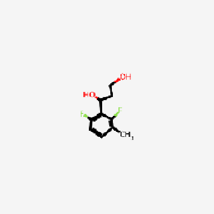 Cc1ccc(F)c(C(O)CCO)c1F